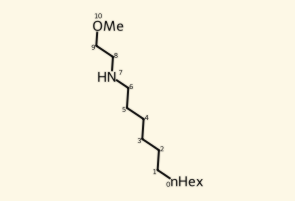 CCCCCCCCCCCCNCCOC